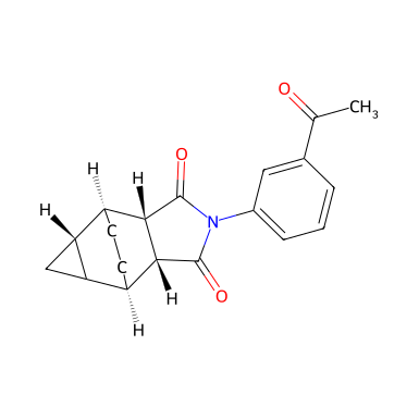 CC(=O)c1cccc(N2C(=O)[C@H]3[C@H]4CC[C@H](C5C[C@@H]54)[C@H]3C2=O)c1